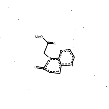 COC(=O)Cn1c(=O)ccc2ncccc21